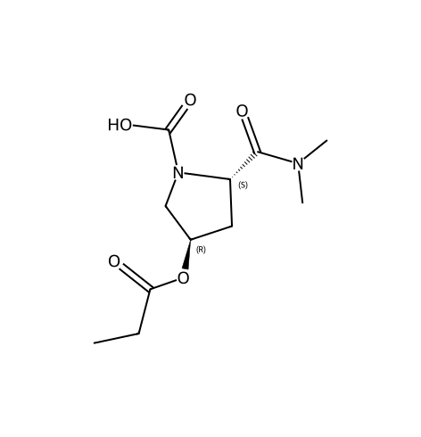 CCC(=O)O[C@@H]1C[C@@H](C(=O)N(C)C)N(C(=O)O)C1